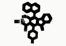 C=C1c2ccccc2-c2c1c(N1CCNCC1)c(C(N)=O)c(CCCC)c2-c1cccc2ccccc12.Cl